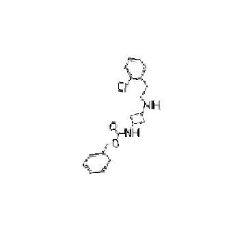 O=C(NC1CC(NCCc2ccccc2Cl)C1)OCc1ccccc1